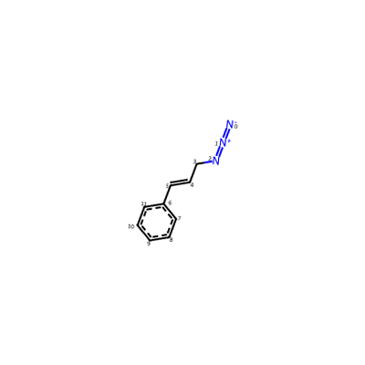 [N-]=[N+]=NC/C=C/c1ccccc1